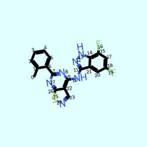 Cc1ccccc1-c1nc(Nc2n[nH]c3c(F)cc(F)cc23)c2cnsc2n1